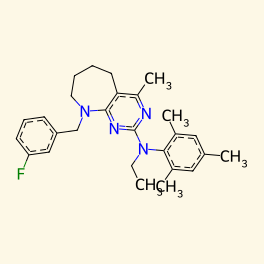 CCN(c1nc(C)c2c(n1)N(Cc1cccc(F)c1)CCCC2)c1c(C)cc(C)cc1C